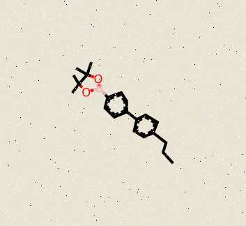 CCCc1ccc(-c2ccc(B3OC(C)(C)C(C)(C)O3)cc2)cc1